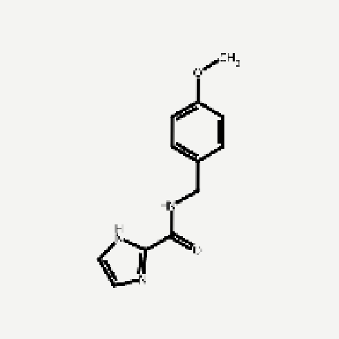 COc1ccc(CNC(=O)c2ncc[nH]2)cc1